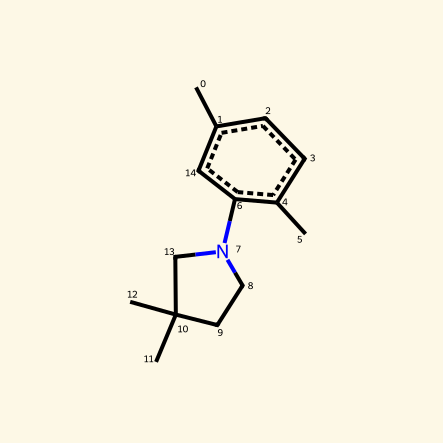 Cc1ccc(C)c(N2CCC(C)(C)C2)c1